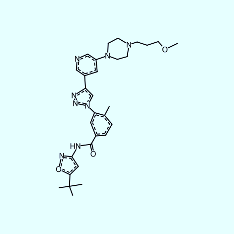 COCCCN1CCN(c2cncc(-c3cn(-c4cc(C(=O)Nc5cc(C(C)(C)C)on5)ccc4C)nn3)c2)CC1